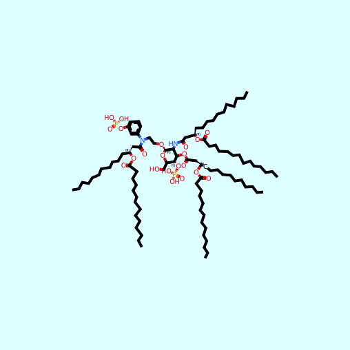 CCCCCCCCCCCCCC(=O)O[C@H](CCCCCCCCCCC)CC(=O)NC1C(OC(=O)C[C@@H](CCCCCCCCCCC)OC(=O)CCCCCCCCCCCCC)[C@H](OP(=O)(O)O)C(CO)O[C@H]1OCCN(C(=O)C[C@@H](CCCCCCCCCCC)OC(=O)CCCCCCCCCCCCC)c1cccc(OP(=O)(O)O)c1